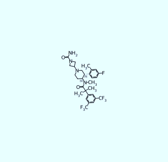 Cc1cc(F)ccc1[C@H]1CN(C2CN(C(N)=O)C2)CC[C@@H]1N(C)C(=O)C(C)(C)c1cc(C(F)(F)F)cc(C(F)(F)F)c1